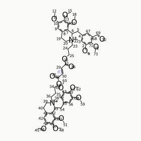 COc1cc(CC2c3c(cc(OC)c(OC)c3OC)CC[N+]2(C)CCCOC(=O)/C=C/C(=O)OCCC[N+]2(C)CCc3cc(OC)c(OC)c(OC)c3C2Cc2cc(OC)c(OC)c(OC)c2)cc(C=O)c1OC